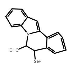 O=CC1C([SeH])c2ccccc2-c2cc3ccccc3n21